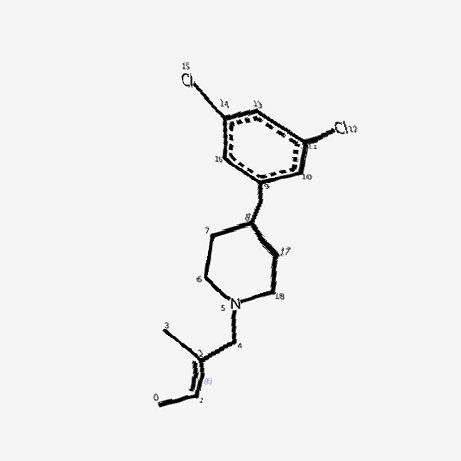 C/C=C(\C)CN1CCC(c2cc(Cl)cc(Cl)c2)CC1